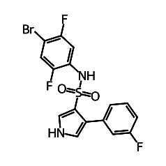 O=S(=O)(Nc1cc(F)c(Br)cc1F)c1c[nH]cc1-c1cccc(F)c1